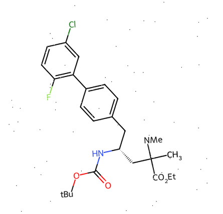 CCOC(=O)C(C)(C[C@@H](Cc1ccc(-c2cc(Cl)ccc2F)cc1)NC(=O)OC(C)(C)C)NC